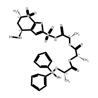 CCN[C@H]1C[C@H](C)S(=O)(=O)c2sc(S(=O)(=O)NC(=O)[C@H](C)OC(=O)[C@H](C)OC(=O)[C@H](C)O[Si](c3ccccc3)(c3ccccc3)C(C)(C)C)cc21